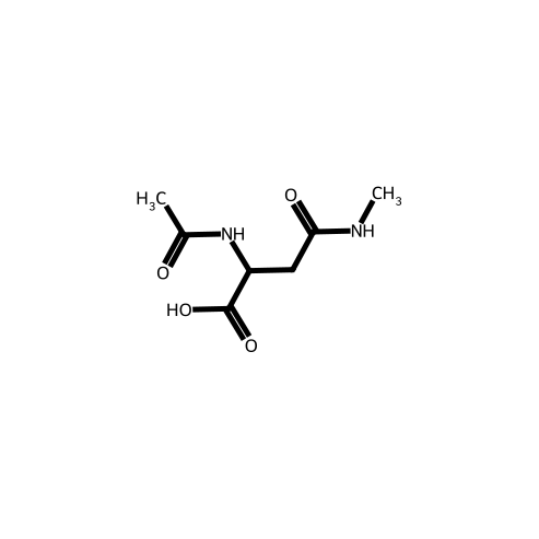 CNC(=O)CC(NC(C)=O)C(=O)O